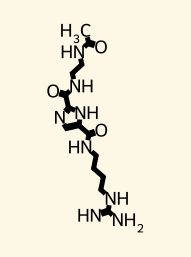 CC(=O)NCCNC(=O)c1ncc(C(=O)NCCCCNC(=N)N)[nH]1